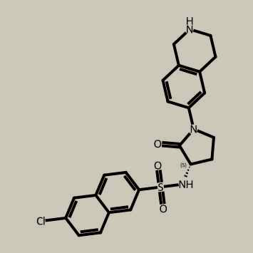 O=C1[C@@H](NS(=O)(=O)c2ccc3cc(Cl)ccc3c2)CCN1c1ccc2c(c1)CCNC2